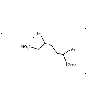 CCCCCC(CCC)CCC(CC)CC(=O)O